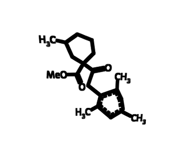 COC(=O)C1(C(=O)Cc2c(C)cc(C)cc2C)CCCC(C)C1